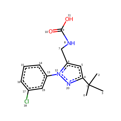 CC(C)(C)c1cc(CNC(=O)O)n(-c2cccc(Cl)c2)n1